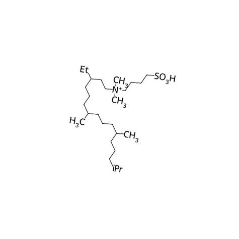 CCC(CCCC(C)CCCC(C)CCCC(C)C)CC[N+](C)(C)CCCCS(=O)(=O)O